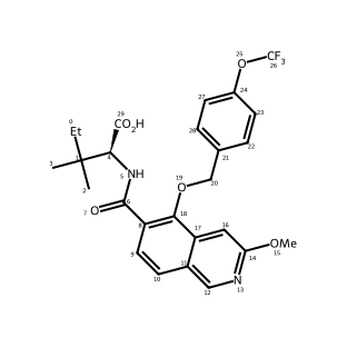 CCC(C)(C)[C@H](NC(=O)c1ccc2cnc(OC)cc2c1OCc1ccc(OC(F)(F)F)cc1)C(=O)O